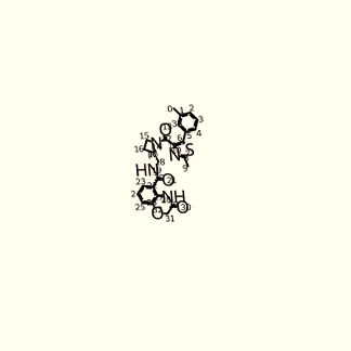 Cc1cccc(-c2sc(C)nc2C(=O)N2CC[C@@H]2CNC(=O)c2cccc3c2NC(=O)CO3)c1